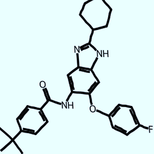 CC(C)(C)c1ccc(C(=O)Nc2cc3nc(C4CCCCC4)[nH]c3cc2Oc2ccc(F)cc2)cc1